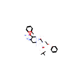 CN1N=C2CCN(C(=O)[C@@H](CCOc3ccccc3)NC(=O)OC(C)(C)C)C[C@@]2(Cc2ccccc2)C1=O